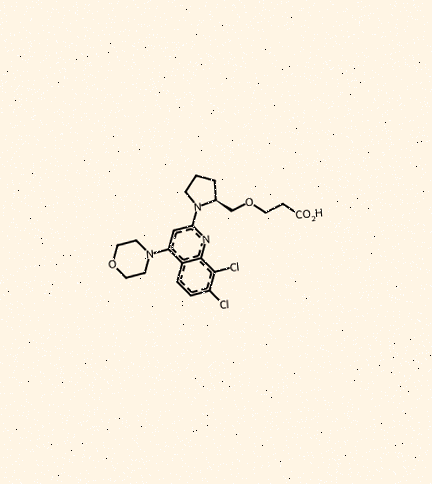 O=C(O)CCOC[C@@H]1CCCN1c1cc(N2CCOCC2)c2ccc(Cl)c(Cl)c2n1